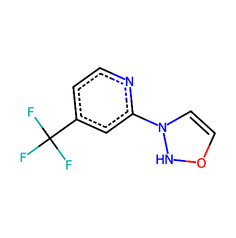 FC(F)(F)c1ccnc(N2C=CON2)c1